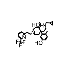 Cc1ccc(O)cc1C12CCN(CCc3cccc(C(F)(F)F)n3)CCC1(O)C(C)N(CC1CC1)CC2